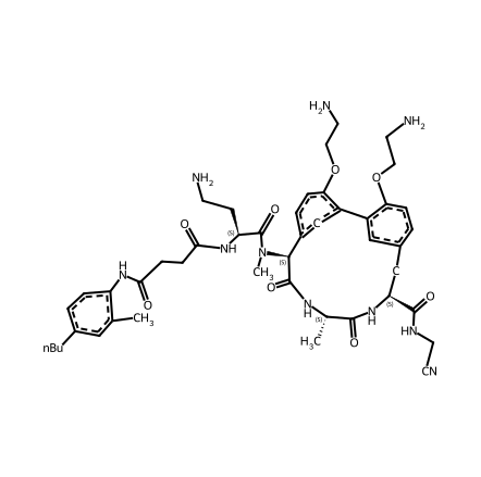 CCCCc1ccc(NC(=O)CCC(=O)N[C@@H](CCN)C(=O)N(C)[C@@H]2C(=O)N[C@@H](C)C(=O)N[C@H](C(=O)NCC#N)Cc3ccc(OCCN)c(c3)-c3cc2ccc3OCCN)c(C)c1